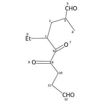 CCC(CC(C)C=O)C(=O)C(=O)CCC=O